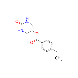 C=Cc1ccc(C(=O)OC2CNC(=O)NC2)cc1